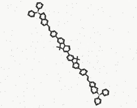 CC1(C)c2cc(C3=CC4C(C=C3)c3ccc(-c5ccc(/C=C/c6ccc7cc(N(c8ccccc8)c8ccccc8)ccc7c6)cc5)cc3C4(C)C)ccc2-c2ccc(-c3ccc(/C=C/c4ccc5cc(N(c6ccccc6)c6ccccc6)ccc5c4)cc3)cc21